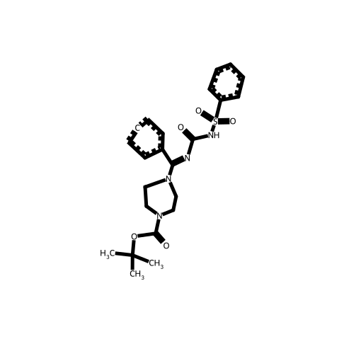 CC(C)(C)OC(=O)N1CCN(/C(=N/C(=O)NS(=O)(=O)c2ccccc2)c2ccccc2)CC1